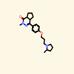 CC1CCCN1CCCOc1ccc(C2=NN(C)C(=O)C3CCCC23)cc1